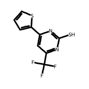 FC(F)(F)c1cc(-c2cccs2)nc(S)n1